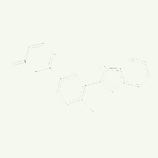 Nc1ncc(C2=NC=CC(=O)C2)nc1-c1nc2ccccc2[nH]1